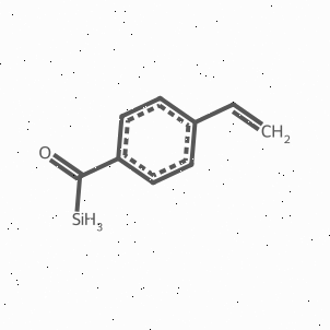 C=Cc1ccc(C(=O)[SiH3])cc1